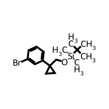 CC(C)(C)[Si](C)(C)OCC1(c2cccc(Br)c2)CC1